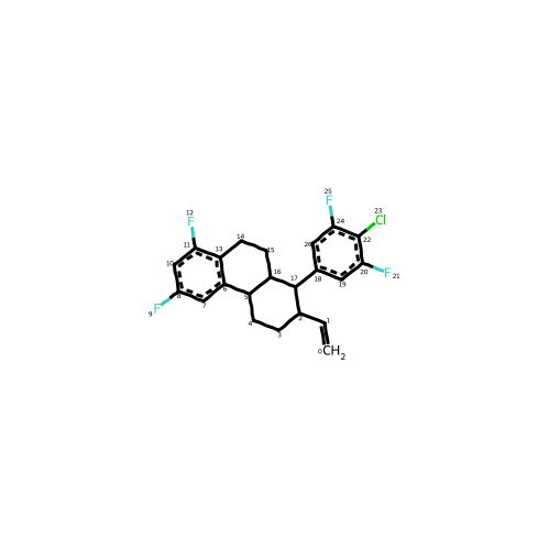 C=CC1CCC2c3cc(F)cc(F)c3CCC2C1c1cc(F)c(Cl)c(F)c1